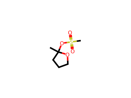 CC1(OS(C)(=O)=O)CCCO1